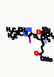 COC(=O)CC/C=C\C[C@H](O[Si](C)(C)C(C)(C)C)c1nnn(C[Si](C)(C)C)c1I